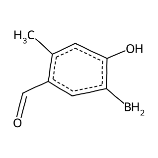 Bc1cc(C=O)c(C)cc1O